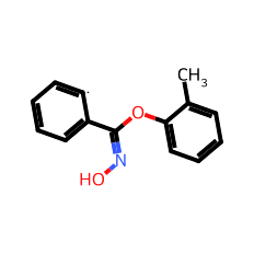 Cc1ccccc1OC(=NO)c1[c]cccc1